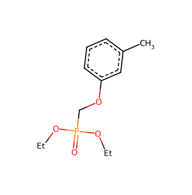 CCOP(=O)(COc1cccc(C)c1)OCC